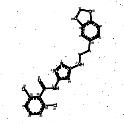 O=C(Nc1nnc(NCCc2ccc3c(c2)OCO3)s1)c1c(Cl)cccc1Cl